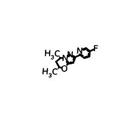 C[C@@H]1C[C@@H](C)n2nc(-c3ccc(F)cn3)cc2O1